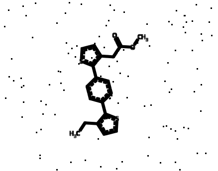 CCc1ccsc1-c1ccc(-c2sccc2CC(=O)OC)cc1